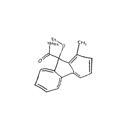 CCCCCCC(=O)C1(OCC)c2ccccc2-c2cccc(C)c21